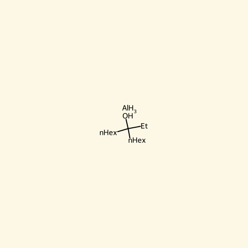 CCCCCCC(O)(CC)CCCCCC.[AlH3]